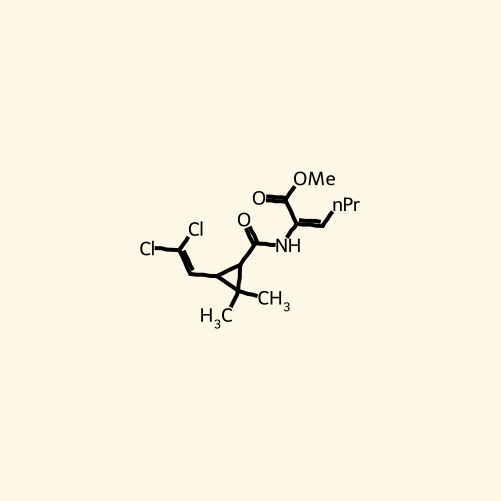 CCCC=C(NC(=O)C1C(C=C(Cl)Cl)C1(C)C)C(=O)OC